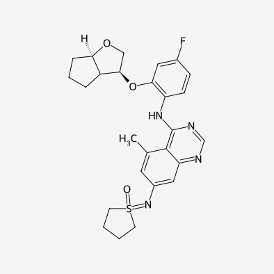 Cc1cc(N=S2(=O)CCCC2)cc2ncnc(Nc3ccc(F)cc3O[C@@H]3CO[C@@H]4CCCC43)c12